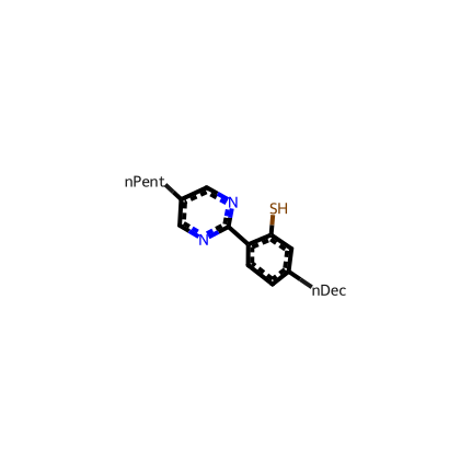 CCCCCCCCCCc1ccc(-c2ncc(CCCCC)cn2)c(S)c1